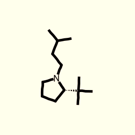 CC(C)CCN1CCC[C@H]1C(C)(C)C